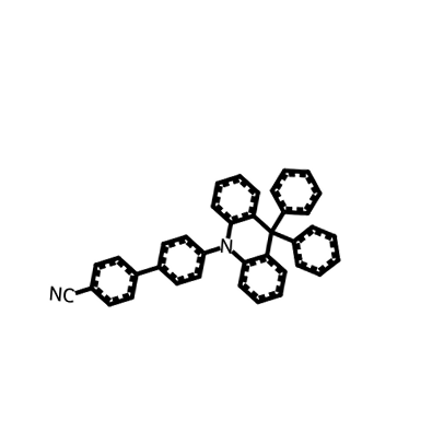 N#Cc1ccc(-c2ccc(N3c4ccccc4C(c4ccccc4)(c4ccccc4)c4ccccc43)cc2)cc1